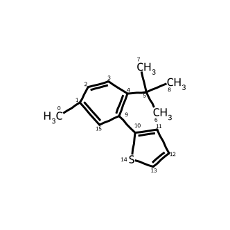 Cc1ccc(C(C)(C)C)c(-c2cccs2)c1